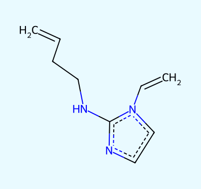 C=CCCNc1nccn1C=C